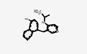 CC(Nc1ccncc1Cc1ccc(C#N)c2ccccc12)C(=O)O